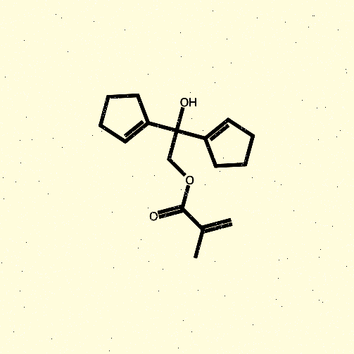 C=C(C)C(=O)OCC(O)(C1=CCCC1)C1=CCCC1